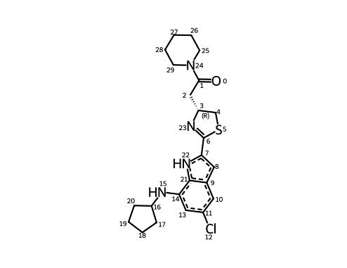 O=C(C[C@@H]1CSC(c2cc3cc(Cl)cc(NC4CCCC4)c3[nH]2)=N1)N1CCCCC1